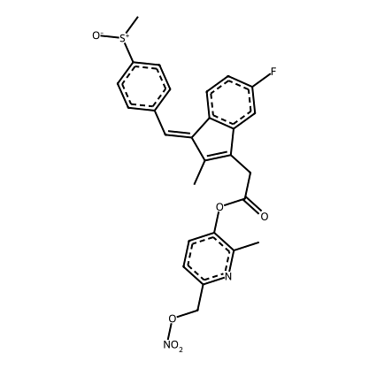 CC1=C(CC(=O)Oc2ccc(CO[N+](=O)[O-])nc2C)c2cc(F)ccc2C1=Cc1ccc([S+](C)[O-])cc1